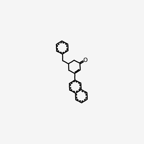 O=C1C=C(c2ccc3ccccc3c2)CC(Cc2ccccc2)C1